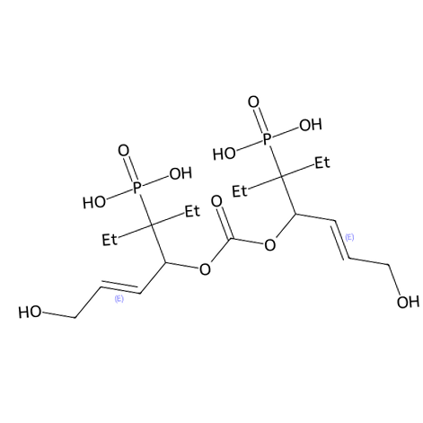 CCC(CC)(C(/C=C/CO)OC(=O)OC(/C=C/CO)C(CC)(CC)P(=O)(O)O)P(=O)(O)O